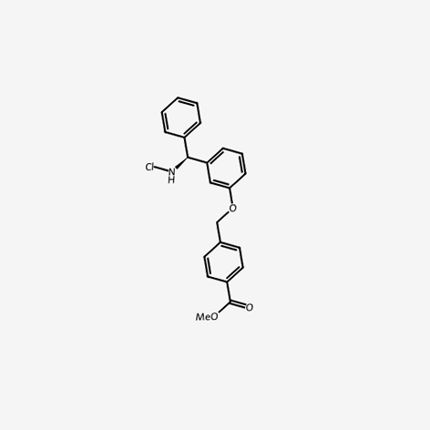 COC(=O)c1ccc(COc2cccc([C@@H](NCl)c3ccccc3)c2)cc1